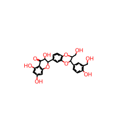 O=C1c2c(O)cc(O)cc2OC(c2ccc3c(c2)OC(c2ccc(O)c(CO)c2)C(CO)O3)C1O